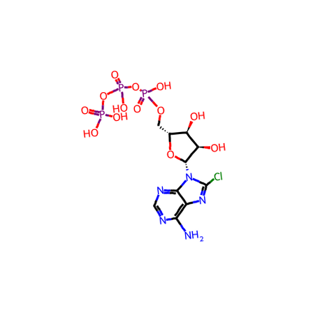 Nc1ncnc2c1nc(Cl)n2[C@@H]1O[C@H](COP(=O)(O)OP(=O)(O)OP(=O)(O)O)[C@@H](O)[C@H]1O